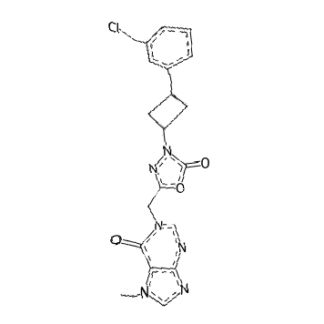 Cn1cnc2ncn(Cc3nn(C4CC(c5cccc(Cl)c5)C4)c(=O)o3)c(=O)c21